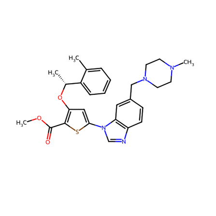 COC(=O)c1sc(-n2cnc3ccc(CN4CCN(C)CC4)cc32)cc1O[C@H](C)c1ccccc1C